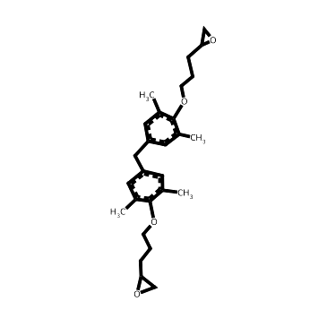 Cc1cc(Cc2cc(C)c(OCCCC3CO3)c(C)c2)cc(C)c1OCCCC1CO1